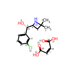 CC1(C)CC([C@@H](O)c2cccc(Cl)c2)N1.O=C(O)/C=C\C(=O)O